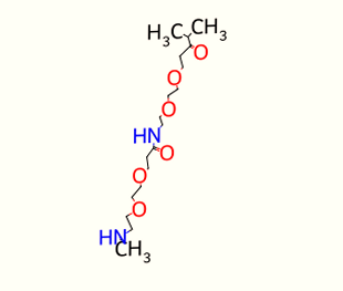 CNCCOCCOCCC(=O)NCCOCCOCCC(=O)C(C)C